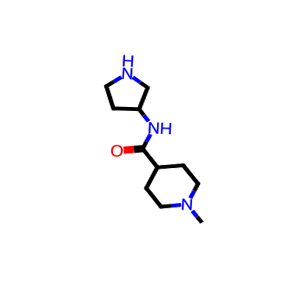 CN1CCC(C(=O)NC2CCNC2)CC1